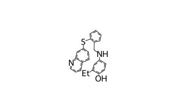 CCc1cc(NCc2ccccc2Sc2ccc3cccnc3c2)ccc1O